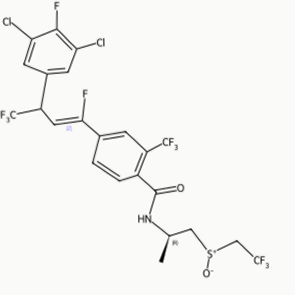 C[C@H](C[S+]([O-])CC(F)(F)F)NC(=O)c1ccc(/C(F)=C/C(c2cc(Cl)c(F)c(Cl)c2)C(F)(F)F)cc1C(F)(F)F